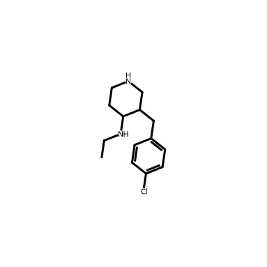 CCNC1CCNCC1Cc1ccc(Cl)cc1